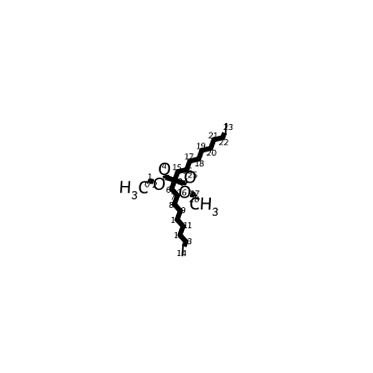 CCOC(=O)C(CCCCCCCCI)(CCCCCCCCI)C(=O)OCC